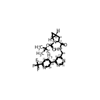 CC(C)(C)OC(=O)N1[C@@H]2C[C@@H]2C[C@H]1C(=O)NCc1cc(-c2ccc(C(F)(F)F)nc2)ncn1